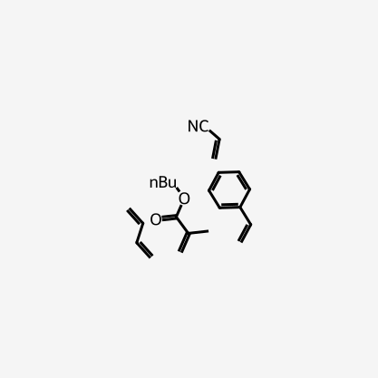 C=C(C)C(=O)OCCCC.C=CC#N.C=CC=C.C=Cc1ccccc1